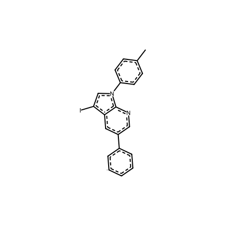 Cc1ccc(-n2cc(I)c3cc(-c4c[c]ccc4)cnc32)cc1